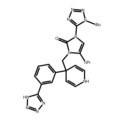 CCCc1cn(-c2nnnn2C(C)CC)c(=O)n1CC1(c2cccc(-c3nnn[nH]3)c2)C=CNC=C1